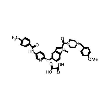 COc1ccc(CN2CCN(C(=O)c3cc4cc(Oc5ccc(NC(=O)c6ccc(C(F)(F)F)cc6)cn5)ccc4n3C)CC2)cc1.O=C(O)C(=O)O